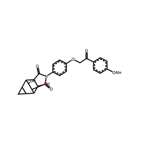 COc1ccc(C(=O)COc2ccc(N3C(=O)C4C(C3=O)C3C(O)C(O)C4C4CC43)cc2)cc1